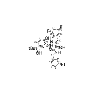 CCc1cccc(CNC[C@H](O)[C@H](Cc2cc(F)cc(F)c2)NC(=O)c2nc(C(O)C(C)(C)C)ccc2O)c1